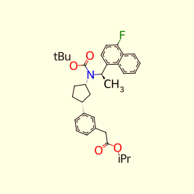 CC(C)OC(=O)Cc1cccc([C@@H]2CC[C@H](N(C(=O)OC(C)(C)C)[C@H](C)c3ccc(F)c4ccccc34)C2)c1